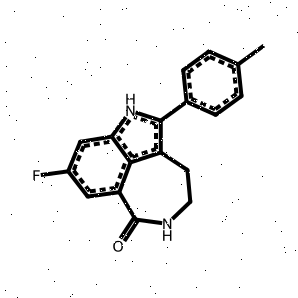 Cc1ccc(-c2[nH]c3cc(F)cc4c3c2CCNC4=O)cc1